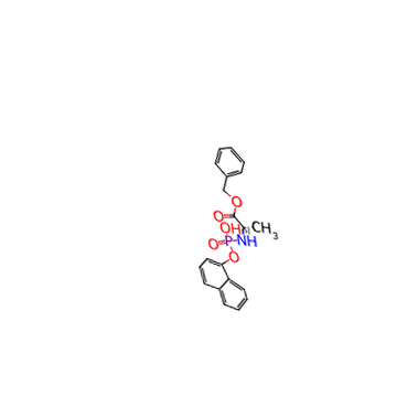 C[C@H](NP(=O)(O)Oc1cccc2ccccc12)C(=O)OCc1ccccc1